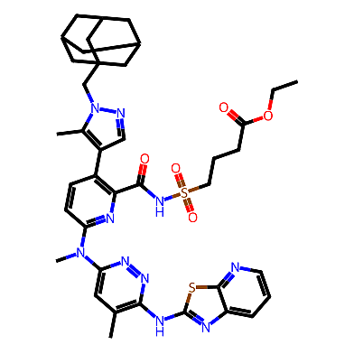 CCOC(=O)CCCS(=O)(=O)NC(=O)c1nc(N(C)c2cc(C)c(Nc3nc4cccnc4s3)nn2)ccc1-c1cnn(CC23CC4CC(CC(C4)C2)C3)c1C